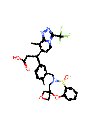 Cc1ccc(C(CC(=O)O)c2ccn3c(C(F)(F)F)nnc3c2C)cc1CN1CC2(COC2)Oc2ccccc2[S+]1[O-]